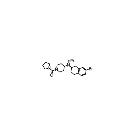 CCCN(C1CCN(C(=O)N2CCCC2)CC1)C1CCc2ccc(Br)cc2C1